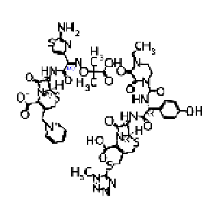 CC(C)(O/N=C(\C(=O)N[C@@H]1C(=O)N2C(C(=O)[O-])=C(C[n+]3ccccc3)CS[C@H]12)c1csc(N)n1)C(=O)O.CCN1CCN(C(=O)N[C@@H](C(=O)N[C@@H]2C(=O)N3C(C(=O)O)=C(CSc4nnnn4C)CS[C@H]23)c2ccc(O)cc2)C(=O)C1=O